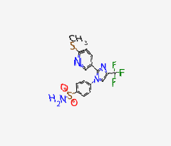 CSc1ccc(-c2nc(C(F)(F)F)cn2-c2ccc(S(N)(=O)=O)cc2)cn1